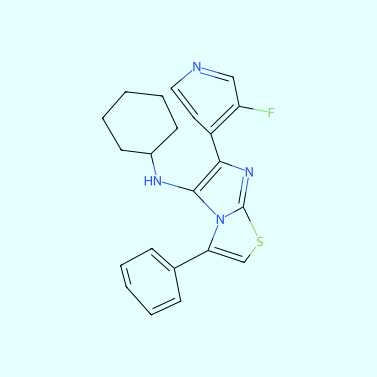 Fc1cnccc1-c1nc2scc(-c3ccccc3)n2c1NC1CCCCC1